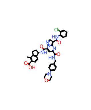 Cc1c(C(=O)O)ccc2c1CC[C@@H]2NC(=O)c1cc(C(=O)NCc2ccc(N3CCOCC3)cc2)nc2c(C(=O)Nc3ccccc3Cl)cnn12